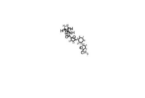 Cc1ccc(-c2cccc(-c3ccc(C(=O)N[C@@H]4C[C@H]5CC[C@@H]4N5)o3)c2)o1